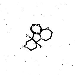 c1cc2c3c(c1)[C@H]1CNCC[C@H]1N3CCCS2